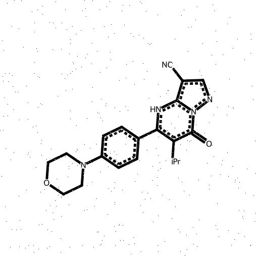 CC(C)c1c(-c2ccc(N3CCOCC3)cc2)[nH]c2c(C#N)cnn2c1=O